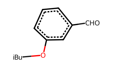 CCC(C)Oc1cccc(C=O)c1